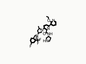 CCOc1ncccc1-c1ccc(N2CC(NCc3ccc(F)cc3C(F)(F)F)CC2C)c(C(=O)N[C@@H]2CCNC2)n1